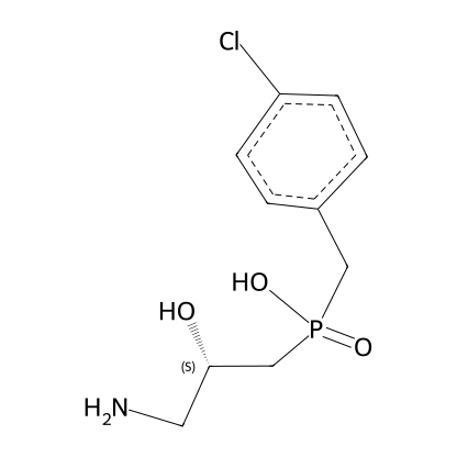 NC[C@H](O)CP(=O)(O)Cc1ccc(Cl)cc1